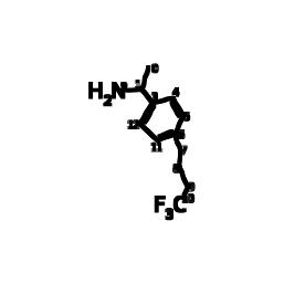 CC(N)c1ccc(CCCC(F)(F)F)cc1